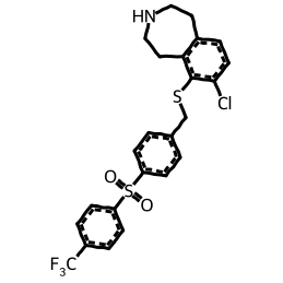 O=S(=O)(c1ccc(CSc2c(Cl)ccc3c2CCNCC3)cc1)c1ccc(C(F)(F)F)cc1